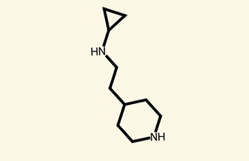 C1CC(CCNC2CC2)CCN1